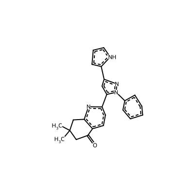 CC1(C)CC(=O)c2ccc(-c3cc(-c4ccc[nH]4)nn3-c3ccccc3)nc2C1